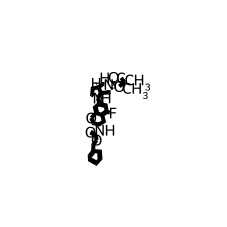 CC(C)(C)OC(=O)N1C[C@@H]2CCN(c3cc(F)c4c(c3)OC[C@H](NC(=O)OCc3ccccc3)C4)[C@@H]2C1